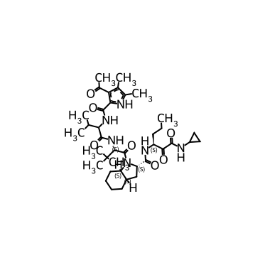 CCC[C@H](NC(=O)[C@@H]1C[C@@H]2CCCC[C@@H]2N1C(=O)[C@@H](NC(=O)C(NC(=O)c1[nH]c(C)c(C)c1C(C)=O)C(C)C)C(C)(C)C)C(=O)C(=O)NC1CC1